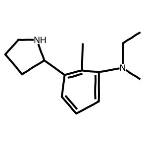 CCN(C)c1cccc(C2CCCN2)c1C